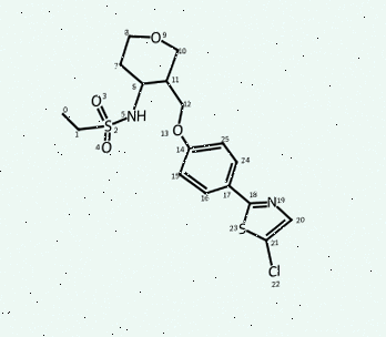 CCS(=O)(=O)NC1CCOCC1COc1ccc(-c2ncc(Cl)s2)cc1